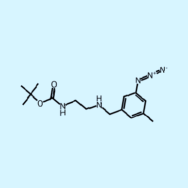 Cc1cc(CNCCNC(=O)OC(C)(C)C)cc(N=[N+]=[N-])c1